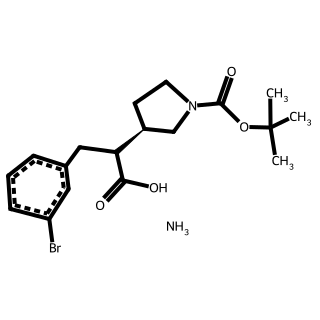 CC(C)(C)OC(=O)N1CC[C@H](C(Cc2cccc(Br)c2)C(=O)O)C1.N